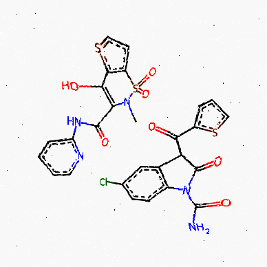 CN1C(C(=O)Nc2ccccn2)=C(O)c2sccc2S1(=O)=O.NC(=O)N1C(=O)C(C(=O)c2cccs2)c2cc(Cl)ccc21